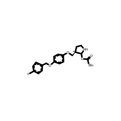 CC(C)(C)C(=O)OC1NCC[C@@H]1COc1ccc(OCc2ccc(F)cc2)cc1